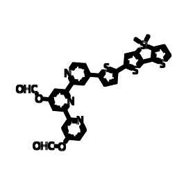 C[Si]1(C)c2ccsc2-c2sc(-c3ccc(-c4ccnc(-c5cc(OC=O)cc(-c6cc(OC=O)ccn6)n5)c4)s3)cc21